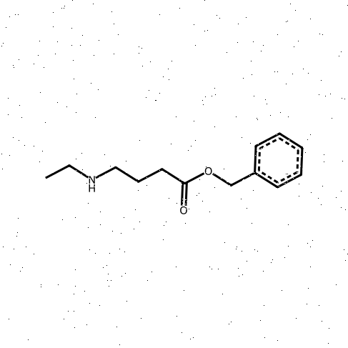 CCNCCCC(=O)OCc1ccccc1